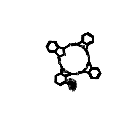 [F][Zn]([F])([F])([F])([F])([F])([F])([F])([F])([F])([F])([F])([F])([F])([F])([F])[c]1cccc2c3nc4nc(nc5[nH]c(nc6nc(nc([nH]3)c12)-c1ccccc1-6)c1ccccc51)-c1ccccc1-4